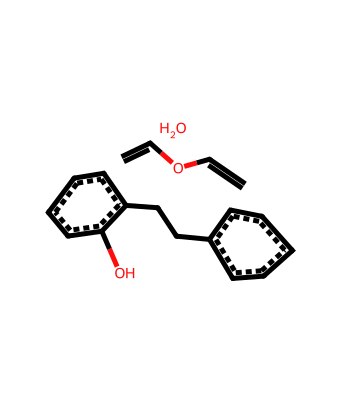 C=COC=C.O.Oc1ccccc1CCc1ccccc1